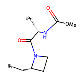 COC(=O)N[C@H](C(=O)N1CC[C@@H]1CC(C)C)C(C)C